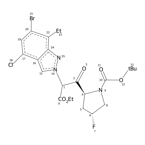 CCOC(=O)C(C(=O)[C@@H]1C[C@@H](F)CN1C(=O)OC(C)(C)C)n1cc2c(Cl)cc(Br)c(CC)c2n1